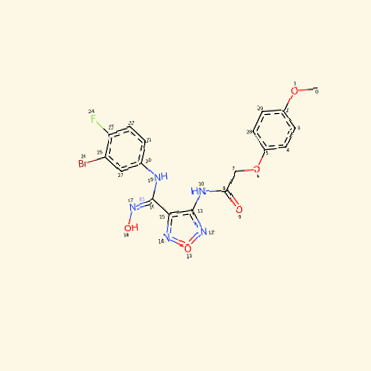 COc1ccc(OCC(=O)Nc2nonc2/C(=N\O)Nc2ccc(F)c(Br)c2)cc1